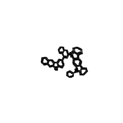 c1ccc(-n2c3ccccc3c3cc4c5ccccc5n(-c5cc(-c6ccc7oc8cc9ccccc9cc8c7c6)c6ccccc6c5)c4cc32)cc1